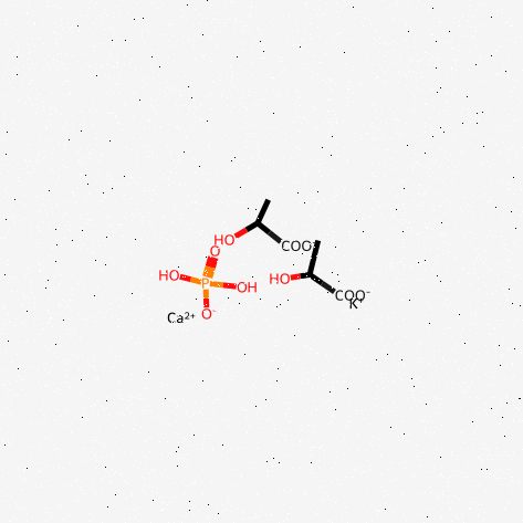 CC(O)C(=O)[O-].CC(O)C(=O)[O-].O=P([O-])(O)O.[Ca+2].[K+]